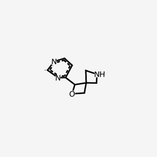 [c]1nccc(C2OCC23CNC3)n1